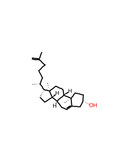 C=C(C)CCC[C@@H](C)[C@H]1CC[C@H]2[C@@H]3CC=C4C[C@@H](O)CC[C@]4(C)[C@H]3CC[C@]12C